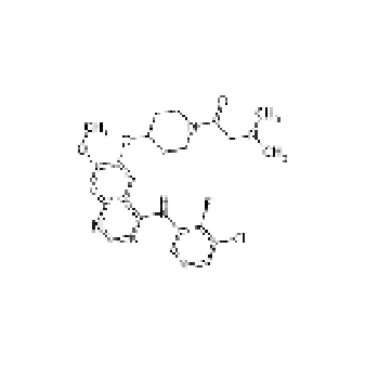 COc1cc2ncnc(Nc3cccc(Cl)c3F)c2cc1OC1CCN(C(=O)CN(C)C)CC1